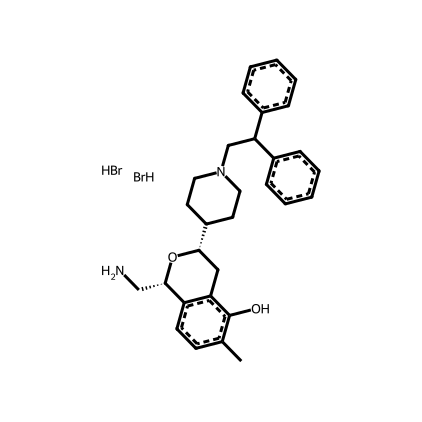 Br.Br.Cc1ccc2c(c1O)C[C@@H](C1CCN(CC(c3ccccc3)c3ccccc3)CC1)O[C@H]2CN